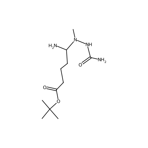 CN(NC(N)=O)C(N)CCCC(=O)OC(C)(C)C